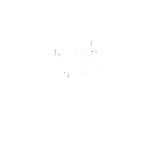 Cc1cnc2c(C(=O)O)c(Oc3cc(F)ccc3C)n(-c3ccccc3)c2c1